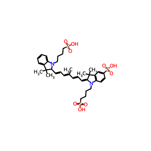 CC(/C=C/C=C1/N(CCCCS(=O)(=O)O)c2ccc(S(=O)(=O)O)cc2C1(C)C)=C\C=C\C1N(CCCCS(=O)(=O)O)c2ccccc2C1(C)C